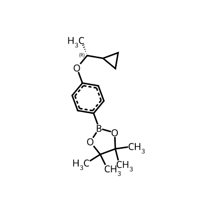 C[C@@H](Oc1ccc(B2OC(C)(C)C(C)(C)O2)cc1)C1CC1